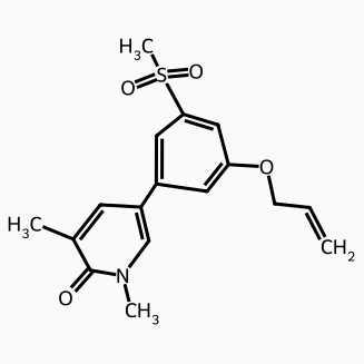 C=CCOc1cc(-c2cc(C)c(=O)n(C)c2)cc(S(C)(=O)=O)c1